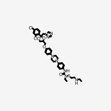 CCNCCSN(CC)C(=O)Nc1ccc(N2CCN(c3ccc(OCC4COC(Cn5cncn5)(c5ccc(Cl)cc5Cl)O4)cc3)CC2)cc1